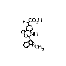 Cn1cc(C(=O)Nc2ccc(C(F)C(=O)O)cc2Cl)c2ccccc21